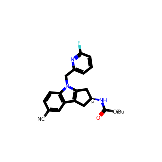 CC(C)COC(=O)N[C@H]1Cc2c(n(Cc3cccc(F)n3)c3ccc(C#N)cc23)C1